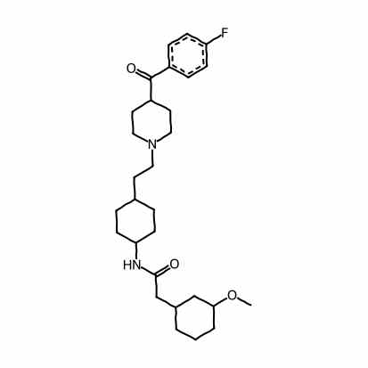 COC1CCCC(CC(=O)NC2CCC(CCN3CCC(C(=O)c4ccc(F)cc4)CC3)CC2)C1